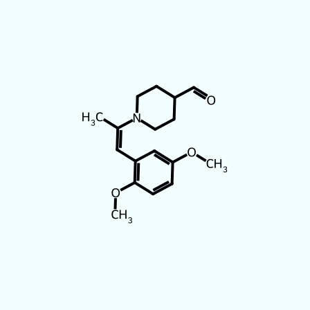 COc1ccc(OC)c(C=C(C)N2CCC(C=O)CC2)c1